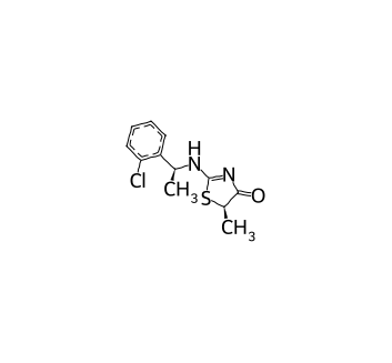 C[C@H](NC1=NC(=O)[C@@H](C)S1)c1ccccc1Cl